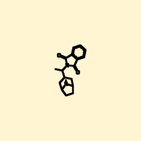 CC(C1CC2CCC(C1)N2C)N1C(=O)c2ccccc2C1=O